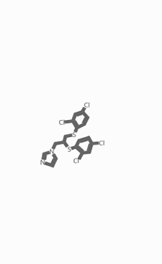 Clc1ccc(SCC(Cn2ccnc2)Sc2ccc(Cl)cc2Cl)c(Cl)c1